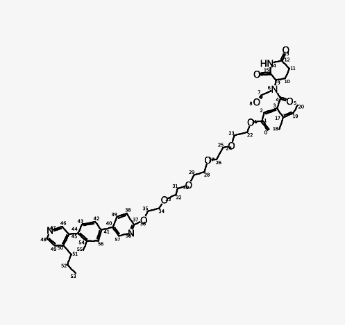 C=C(/C=C(C(=O)N(C=O)C1CCC(=O)NC1=O)\C(C)=C/C)OCCOCCOCCOCCOCCOc1ccc(-c2ccc(-c3cnccc3CCC)c(C)c2)cn1